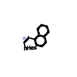 CCCCCC/C=[C]\c1cccc2ccccc12